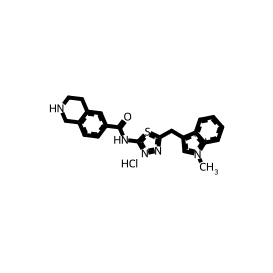 Cl.Cn1cc(Cc2nnc(NC(=O)c3ccc4c(c3)CCNC4)s2)c2ccccc21